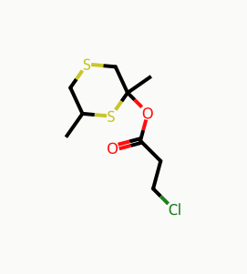 CC1CSCC(C)(OC(=O)CCCl)S1